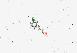 O=CCCSc1cccc(F)c1